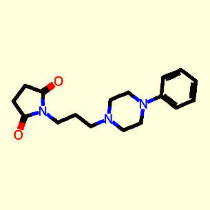 O=C1CCC(=O)N1CCCN1CCN(c2ccccc2)CC1